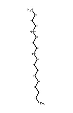 CCCCCCCCCCCCCCCCCCNCCCNCCCN